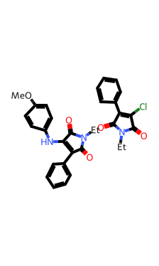 CCN1C(=O)C(Cl)=C(c2ccccc2)C1=O.CCN1C(=O)C(Nc2ccc(OC)cc2)=C(c2ccccc2)C1=O